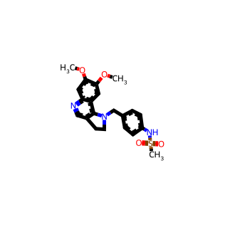 COc1cc2ncc3c(c2cc1OC)N(Cc1ccc(NS(C)(=O)=O)cc1)CC3